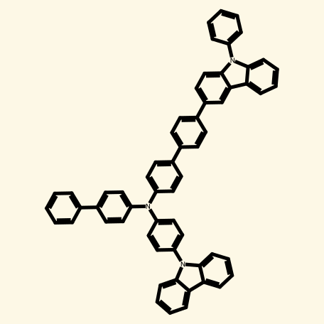 c1ccc(-c2ccc(N(c3ccc(-c4ccc(-c5ccc6c(c5)c5ccccc5n6-c5ccccc5)cc4)cc3)c3ccc(-n4c5ccccc5c5ccccc54)cc3)cc2)cc1